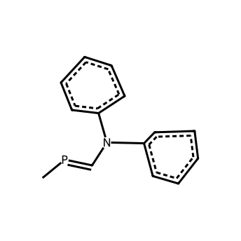 C/P=C/N(c1ccccc1)c1ccccc1